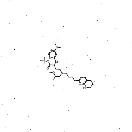 COC(C)CN(CCCCc1ccc2c(n1)NCCC2)CCC(Nc1cc(N(C)C)ncn1)C(=O)OC(C)(C)C